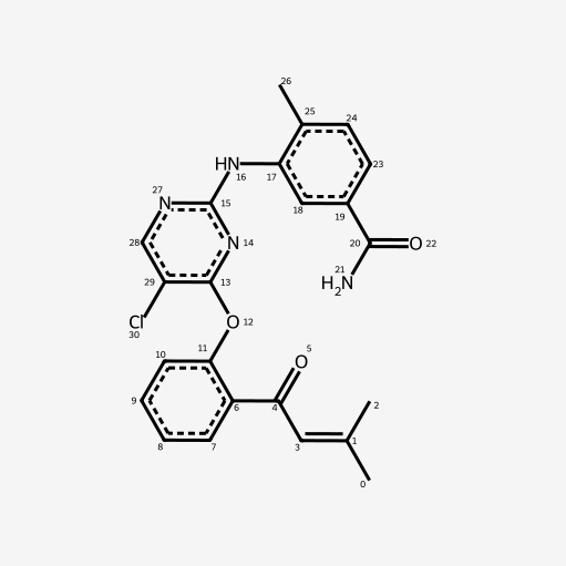 CC(C)=CC(=O)c1ccccc1Oc1nc(Nc2cc(C(N)=O)ccc2C)ncc1Cl